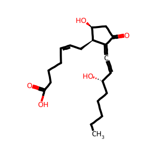 CCCCC[C@H](O)C=C=C1C(=O)C[C@H](O)[C@@H]1C/C=C\CCCC(=O)O